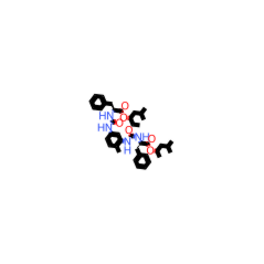 CCC(CC(C)C)OC(=O)[C@H](Cc1ccccc1)NC(=O)Nc1ccc(C)c(NC(=O)N[C@@H](Cc2ccccc2)C(=O)OC(C)CC(C)C)c1